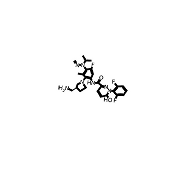 C=NN(c1c(F)cc(NC(=O)C2=NN(c3c(F)cccc3F)C(O)C=C2)c(N2CC[C@@H](CN)C2)c1C)C(C)C